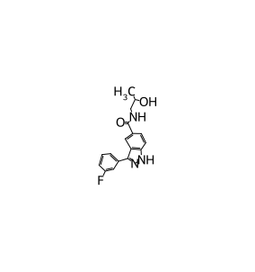 CC(O)CNC(=O)c1ccc2[nH]nc(-c3cccc(F)c3)c2c1